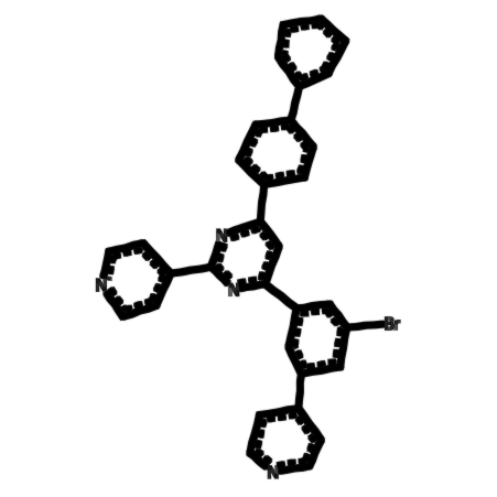 Brc1cc(-c2ccncc2)cc(-c2cc(-c3ccc(-c4ccccc4)cc3)nc(-c3ccncc3)n2)c1